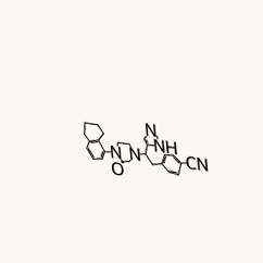 N#Cc1ccc(CC(c2cnc[nH]2)N2CCN(c3cccc4c3CCCC4)C(=O)C2)cc1